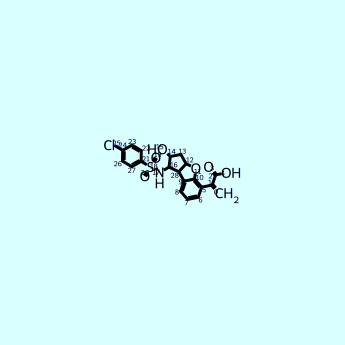 C=C(C(=O)O)c1cccc2c1OC1CC(O)C(NS(=O)(=O)c3ccc(Cl)cc3)C21